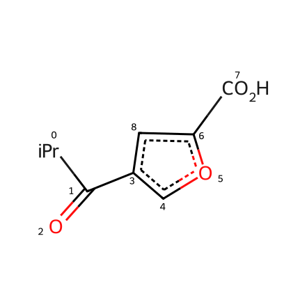 CC(C)C(=O)c1coc(C(=O)O)c1